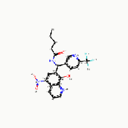 CCCCC(=O)NC(c1ccc(C(F)(F)F)nc1)c1cc([N+](=O)[O-])c2cccnc2c1O